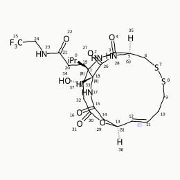 CC(C)[C@H]1NC(=O)[C@H]2CSSCC/C=C/[C@H](CC(=O)N[C@H](CCC(=O)NCC(F)(F)F)C(=O)N2)OC(=O)C[C@@H]1O